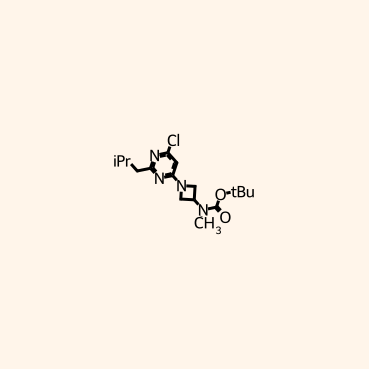 CC(C)Cc1nc(Cl)cc(N2CC(N(C)C(=O)OC(C)(C)C)C2)n1